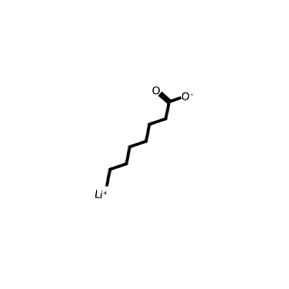 CCCCCCCC(=O)[O-].[Li+]